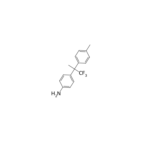 Cc1ccc(C(C)(c2ccc(N)cc2)C(F)(F)F)cc1